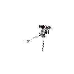 CCCCCCCCCCCCCCCC(=O)O[C@H](COC(=O)CCCCCCCCCCCCCCS)COP(=O)(O)OC1C(O)[C@@H](OP(=O)(O)O)C(O)[C@@H](O)[C@H]1O